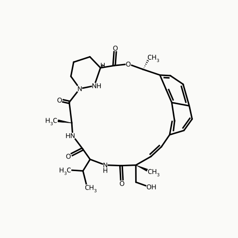 CC(C)C1NC(=O)[C@@](C)(CO)/C=C/c2ccc3ccc(cc3c2)[C@@H](C)OC(=O)[C@@H]2CCCN(N2)C(=O)[C@H](C)NC1=O